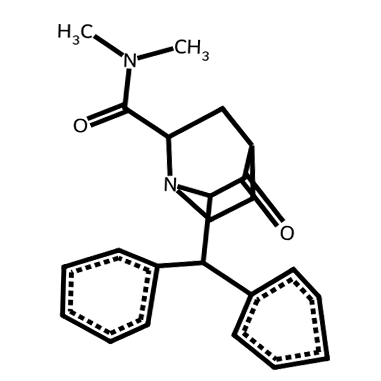 CN(C)C(=O)C1CC2CCN1C(C(c1ccccc1)c1ccccc1)C2=O